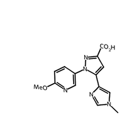 COc1ccc(-n2nc(C(=O)O)cc2-c2cn(C)cn2)cn1